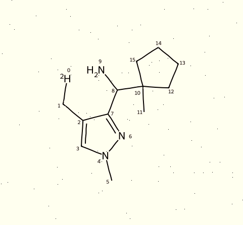 [2H]Cc1cn(C)nc1C(N)C1(C)CCCC1